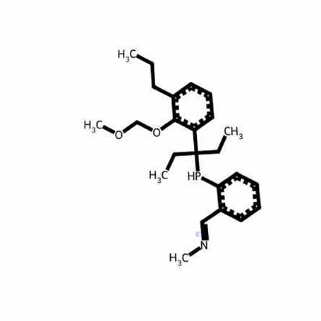 CCCc1cccc(C(CC)(CC)Pc2ccccc2/C=N/C)c1OCOC